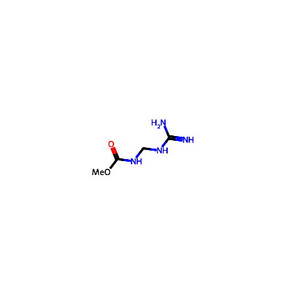 COC(=O)NCNC(=N)N